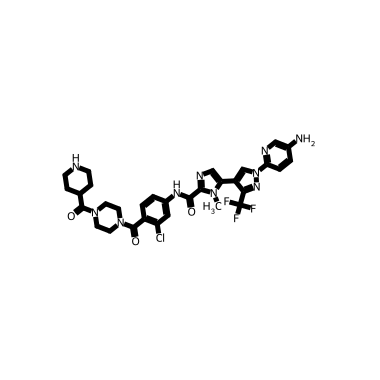 Cn1c(-c2cn(-c3ccc(N)cn3)nc2C(F)(F)F)cnc1C(=O)Nc1ccc(C(=O)N2CCN(C(=O)C3CCNCC3)CC2)c(Cl)c1